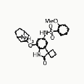 COc1ccccc1S(=O)(=O)Nc1cc(OC2CC3CCC(C2)N3C)c2c(c1)C1(CCC1)C(=O)N2